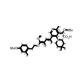 C=N/C(OCCc1ccc(OC)cc1C)=C(F)\C=C(/C)c1cnc(C)c([C@H](OC(C)(C)C)C(=O)O)c1N1CCC(C)(C)CC1